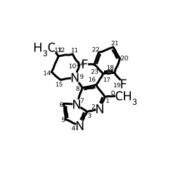 Cc1nc2nccn2c(N2CCC(C)CC2)c1-c1c(F)cccc1F